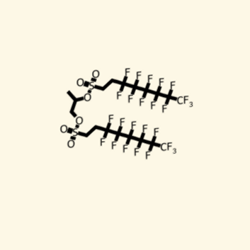 CC(COS(=O)(=O)CCC(F)(F)C(F)(F)C(F)(F)C(F)(F)C(F)(F)C(F)(F)F)OS(=O)(=O)CCC(F)(F)C(F)(F)C(F)(F)C(F)(F)C(F)(F)C(F)(F)F